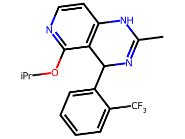 CC1=NC(c2ccccc2C(F)(F)F)c2c(ccnc2OC(C)C)N1